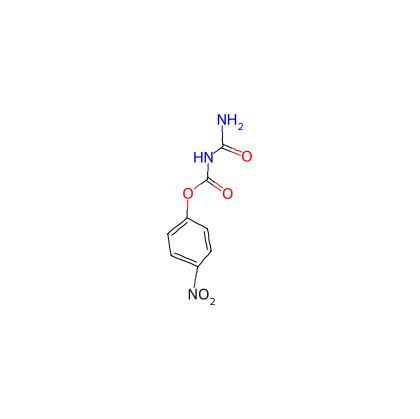 NC(=O)NC(=O)Oc1ccc([N+](=O)[O-])cc1